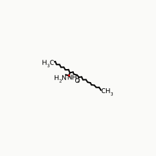 CCCCCCCCCCCC(=O)CCCC(CCCCCCCC)C(N)CN